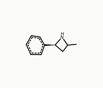 CC1C[C@@H](c2ccccc2)N1